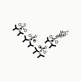 CC(C)S(C(C)C)=P([O-])([O-])[S-].CC(C)S(C(C)C)=P([O-])([O-])[S-].CC(C)S(C(C)C)=P([O-])([O-])[S-].CC(C)S(C(C)C)=P([O-])([O-])[S-].[Mo+4].[Mo+4].[Mo+4]